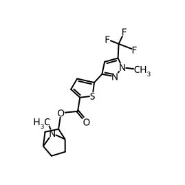 CN1C2CCC1C(OC(=O)c1ccc(-c3cc(C(F)(F)F)n(C)n3)s1)C2